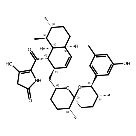 Cc1cc(O)cc([C@@H]2O[C@]3(CC[C@H]2C)O[C@@H](C[C@@H]2C=C[C@@H]4CC[C@@H](C)[C@H](C)[C@@H]4[C@H]2C(=O)C2=C(O)CC(=O)N2)CC[C@H]3C)c1